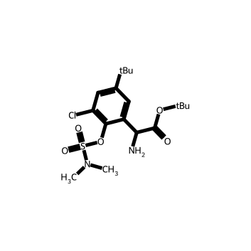 CN(C)S(=O)(=O)Oc1c(Cl)cc(C(C)(C)C)cc1C(N)C(=O)OC(C)(C)C